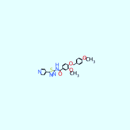 COc1ccc(COc2ccc(C(=O)Nc3nnc(-c4ccncc4)s3)cc2OC)cc1